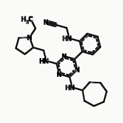 CCN1CCCC1CNc1nc(NC2CCCCCC2)nc(-c2ccccc2NCC#N)n1